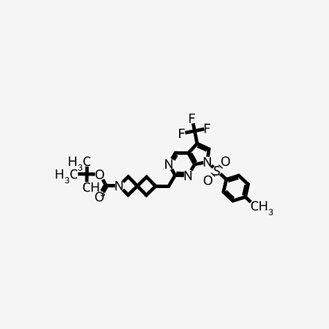 Cc1ccc(S(=O)(=O)n2cc(C(F)(F)F)c3cnc(CC4CC5(C4)CN(C(=O)OC(C)(C)C)C5)nc32)cc1